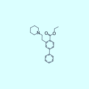 CCOC(=O)c1ccc(-c2ccccc2)cc1CCN1CCCCC1